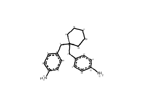 Nc1ccc(CC2(Cc3ccc(N)cc3)CCCCC2)cc1